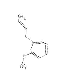 CC=CCc1ccccc1OC